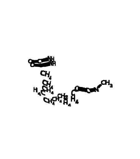 C.C.C.C.C.C.C.C.C.CN=C=O.N=C=O.N=C=O